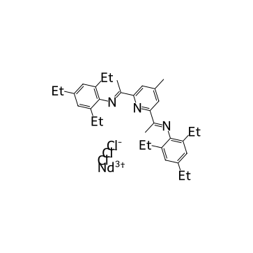 CCc1cc(CC)c(N=C(C)c2cc(C)cc(C(C)=Nc3c(CC)cc(CC)cc3CC)n2)c(CC)c1.[Cl-].[Cl-].[Cl-].[Nd+3]